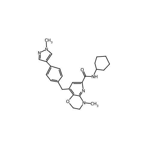 CN1CCOc2c(Cc3ccc(-c4cnn(C)c4)cc3)cc(C(=O)NC3CCCCC3)nc21